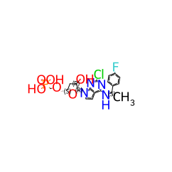 C[C@H](Nc1nc(Cl)nc2c1ccn2[C@@H]1O[C@H](COCP(=O)(O)O)C[C@H]1O)c1ccc(F)cc1